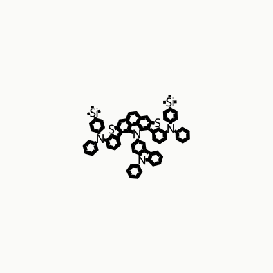 C[Si](C)(C)c1ccc(N(c2ccccc2)c2cccc3c2sc2cc4ccc5cc6sc7c(N(c8ccccc8)c8ccc([Si](C)(C)C)cc8)cccc7c6c6c5c4c(c23)n6-c2ccc3c(c2)c2ccccc2n3-c2ccccc2)cc1